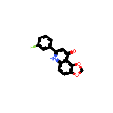 O=c1cc(-c2cccc(F)c2)[nH]c2ccc3c(c12)OCO3